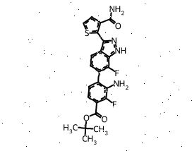 CC(C)(C)OC(=O)c1ccc(-c2ccc3c(-c4sccc4C(N)=O)n[nH]c3c2F)c(N)c1F